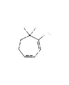 CC1(C)CCC=CC=C1C#N